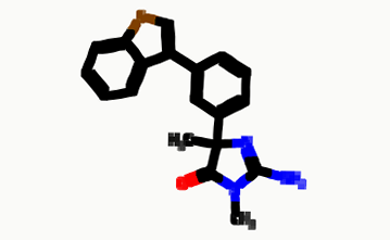 CN1C(=O)C(C)(c2cccc(-c3csc4ccccc34)c2)N=C1N